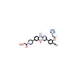 COc1cc(C2CCN(C(=O)CO)CC2)ccc1Nc1ncc(-c2ccc(C#N)c(O[C@@H](C)Cn3cnnn3)c2)cn1